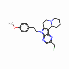 COc1ccc(CCn2c3c(c4nc(CF)cnc42)C2CCCCN2CC3)cc1